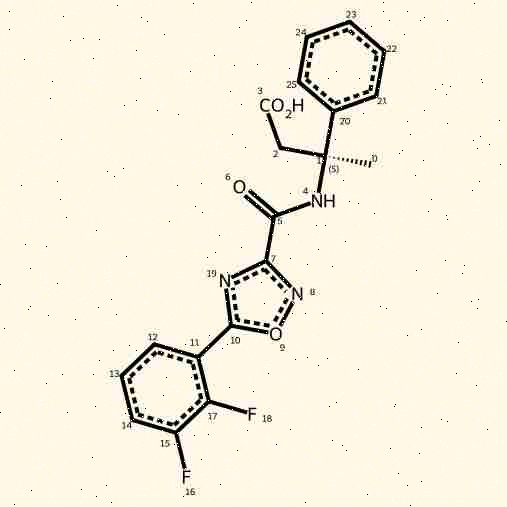 C[C@@](CC(=O)O)(NC(=O)c1noc(-c2cccc(F)c2F)n1)c1ccccc1